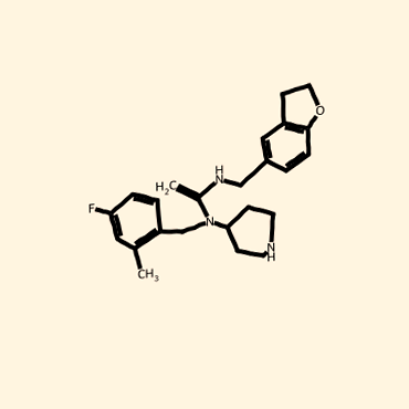 C=C(NCc1ccc2c(c1)CCO2)N(Cc1ccc(F)cc1C)C1CCNCC1